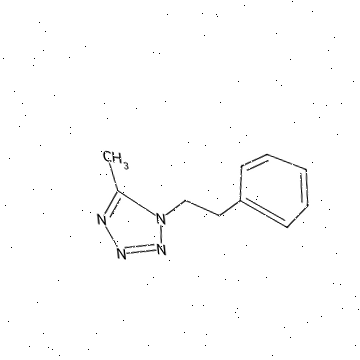 Cc1nnnn1CCc1ccccc1